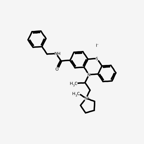 CC(C[N+]1(C)CCCC1)N1c2ccccc2Sc2ccc(C(=O)NCc3ccccc3)cc21.[I-]